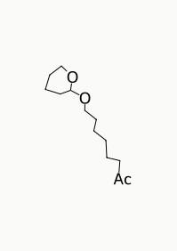 CC(=O)CCCCCCOC1CCCCO1